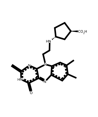 C=c1nc2c(c(=O)[nH]1)=Nc1cc(C)c(C)cc1N2CCN[C@@H]1CC[C@@H](C(=O)O)C1